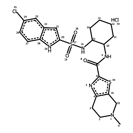 CN1CCc2nc(C(=O)NC3CCCCC3NS(=O)(=O)c3cc4cc(Cl)ccc4[nH]3)sc2C1.Cl